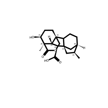 C[C@H]1C[C@]23C[C@H]1CCC2[C@]12CC[C@H](O)[C@](C)(C(=O)OC1)[C@H]2[C@@H]3C(=O)O